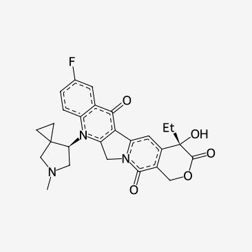 CC[C@@]1(O)C(=O)OCc2c1cc1n(c2=O)Cc2c-1c(=O)c1cc(F)ccc1n2[C@H]1CN(C)CC12CC2